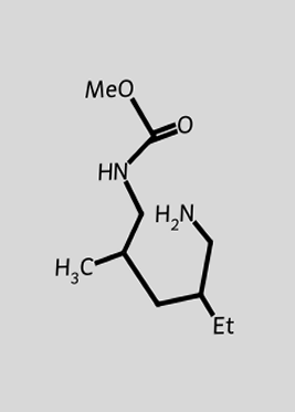 CCC(CN)CC(C)CNC(=O)OC